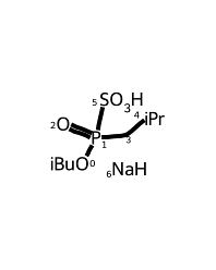 CC(C)COP(=O)(CC(C)C)S(=O)(=O)O.[NaH]